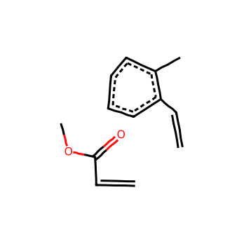 C=CC(=O)OC.C=Cc1ccccc1C